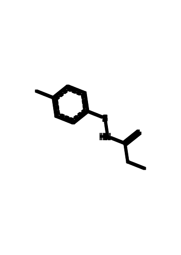 C=C(CC)NSc1ccc(C)cc1